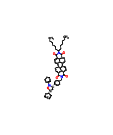 CCCCCCC(CCCCCC)N1C(=O)c2ccc3c4ccc5c6c(ccc(c7ccc(c2c37)C1=O)c64)C(=O)N(Cc1ccc([C@@H]2C[C@H](c3ccccc3)ON2c2ccccc2)cc1)C5=O